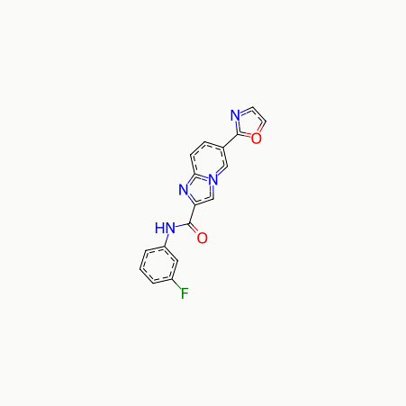 O=C(Nc1cccc(F)c1)c1cn2cc(-c3ncco3)ccc2n1